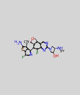 CC(C)N[C@@H]1CN(c2ncc3c4c(c(-c5ncc(F)c6sc(N)c(C#N)c56)c(F)c3n2)COC4)C[C@@H]1O